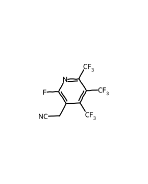 N#CCc1c(F)nc(C(F)(F)F)c(C(F)(F)F)c1C(F)(F)F